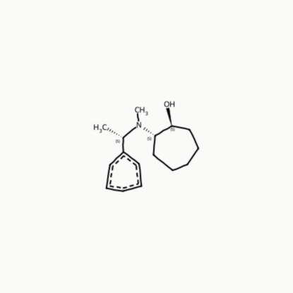 C[C@@H](c1ccccc1)N(C)[C@H]1CCCCC[C@@H]1O